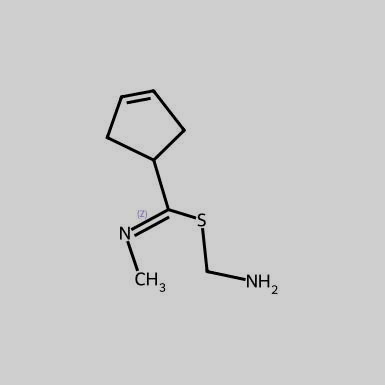 C/N=C(\SCN)C1CC=CC1